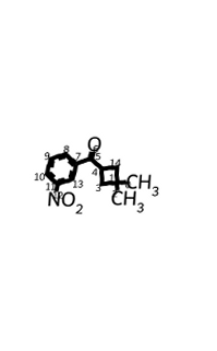 CC1(C)CC(C(=O)c2cccc([N+](=O)[O-])c2)C1